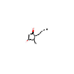 BCCC1C(=O)CC(O)C1C